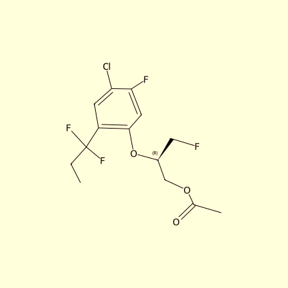 CCC(F)(F)c1cc(Cl)c(F)cc1O[C@@H](CF)COC(C)=O